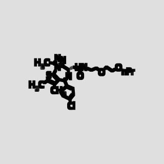 CCCOCCOCCNC(=O)C[C@@H]1N=C(c2ccc(Cl)cc2)c2c(sc(C)c2C)-n2c(C)nnc21